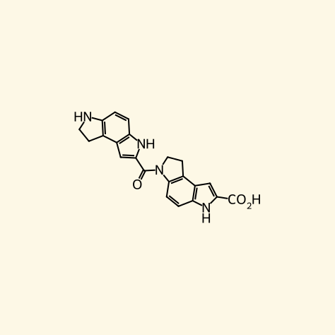 O=C(O)c1cc2c3c(ccc2[nH]1)N(C(=O)c1cc2c4c(ccc2[nH]1)NCC4)CC3